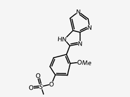 COc1cc(OS(C)(=O)=O)ccc1-c1nc2ncncc2[nH]1